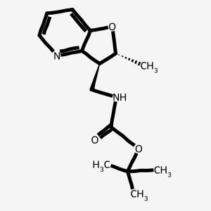 C[C@H]1Oc2cccnc2[C@@H]1CNC(=O)OC(C)(C)C